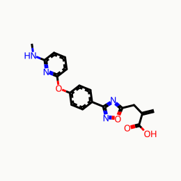 C=C(Cc1nc(-c2ccc(Oc3cccc(NC)n3)cc2)no1)C(=O)O